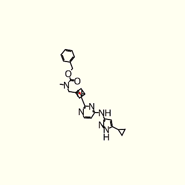 CN(CC12CC(C1)N(c1nccc(Nc3cc(C4CC4)[nH]n3)n1)C2)C(=O)OCc1ccccc1